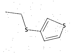 CCSc1ccsc1